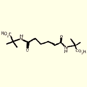 CC(C)(NC(=O)CCCCC(=O)NC(C)(C)C(=O)O)C(=O)O